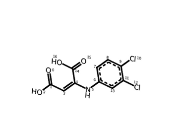 O=C(O)C=C(Nc1ccc(Cl)c(Cl)c1)C(=O)O